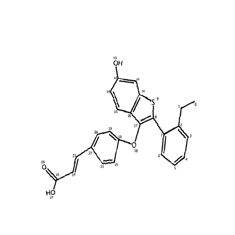 CCc1ccccc1-c1sc2cc(O)ccc2c1Oc1ccc(C=CC(=O)O)cc1